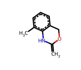 C=C1Nc2c(C)cccc2CO1